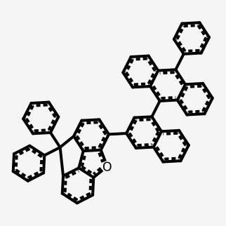 c1ccc(-c2c3ccccc3c(-c3cc(-c4ccc5c6c4oc4cccc(c46)C5(c4ccccc4)c4ccccc4)cc4ccccc34)c3ccccc23)cc1